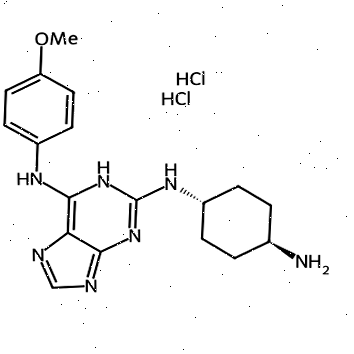 COc1ccc(Nc2[nH]c(N[C@H]3CC[C@H](N)CC3)nc3ncnc2-3)cc1.Cl.Cl